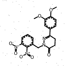 COc1ccc(C2=NN(Cc3cccc([N+](=O)[O-])c3[N+](=O)[O-])C(=O)CC2)cc1OC